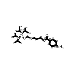 CC(C)N(C(C)C)P(OCOCCCSC(=O)c1ccc(N)cc1)N(C(C)C)C(C)C